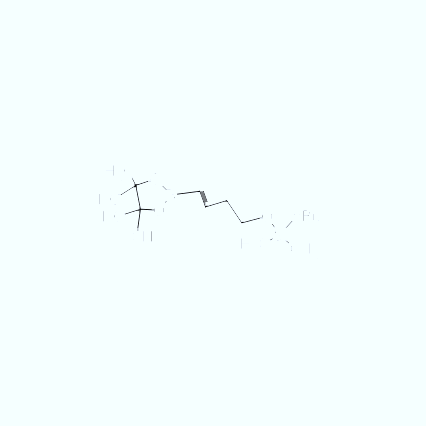 CCCC[Si](C)(C)OCCC=CB1OC(C)(C)C(C)(C)O1